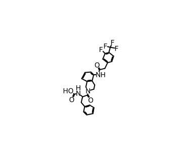 O=C(O)NC(Cc1ccccc1)C(=O)N1CCc2c(cccc2NC(=O)Cc2ccc(C(F)(F)F)c(F)c2)C1